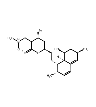 C[C@H]1C=C2C=C[C@H](C)[C@H](CC[C@@H]3C[C@H](C(C)(C)C)C(O[SiH](C)C)C(=O)O3)[C@H]2[C@@H](O)C1